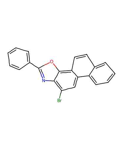 Brc1cc2c3ccccc3ccc2c2oc(-c3ccccc3)nc12